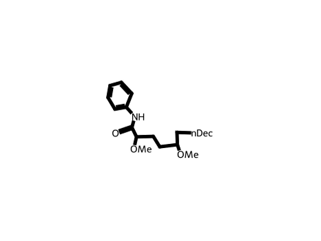 CCCCCCCCCCCC(CCC(OC)C(=O)Nc1ccccc1)OC